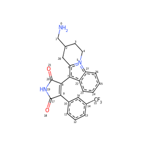 NCC1CCn2c(c(C3=C(c4cccc(C(F)(F)F)c4)C(=O)NC3=O)c3ccccc32)C1